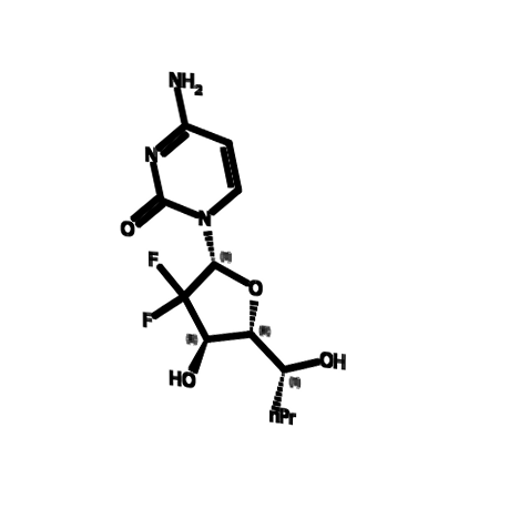 CCC[C@@H](O)[C@H]1O[C@@H](n2ccc(N)nc2=O)C(F)(F)[C@@H]1O